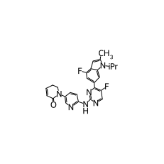 Cc1cc2c(F)cc(-c3nc(Nc4ccc(N5CCC=CC5=O)cn4)ncc3F)cc2n1C(C)C